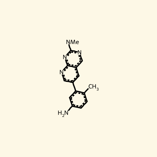 CNc1ncc2cc(-c3cc(N)ccc3C)cnc2n1